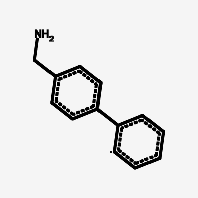 NCc1ccc(-c2[c]cccc2)cc1